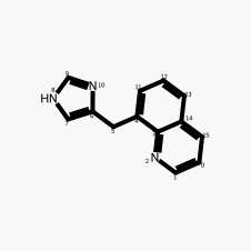 c1cnc2c(Cc3c[nH]cn3)cccc2c1